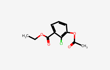 CCOC(=O)c1cccc(OC(C)=O)c1Cl